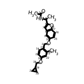 CC(=O)NC(C)c1cc2cc(OCc3ccc(OCC4CC4)cc3C)ccc2o1